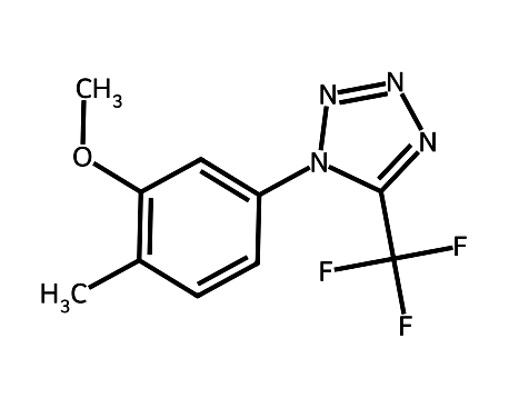 COc1cc(-n2nnnc2C(F)(F)F)ccc1C